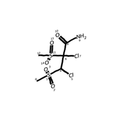 CS(=O)(=O)C(Cl)C(Cl)(C(N)=O)S(C)(=O)=O